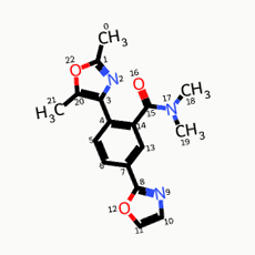 Cc1nc(-c2ccc(-c3ncco3)cc2C(=O)N(C)C)c(C)o1